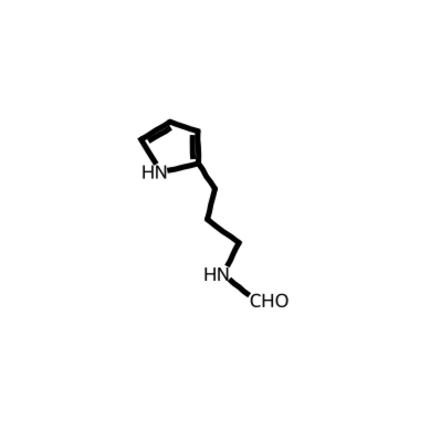 O=CNCCCc1ccc[nH]1